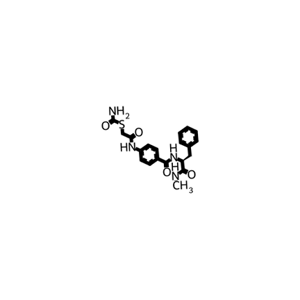 CNC(=O)[C@H](Cc1ccccc1)NC(=O)c1ccc(NC(=O)CSC(N)=O)cc1